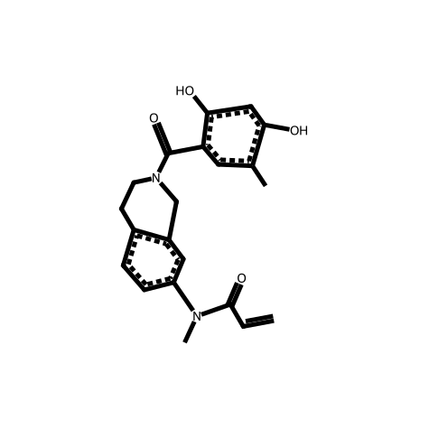 C=CC(=O)N(C)c1ccc2c(c1)CN(C(=O)c1cc(C)c(O)cc1O)CC2